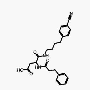 N#Cc1ccc(CCCCNC(=O)C(CC(=O)O)NC(=O)CCc2ccccc2)cc1